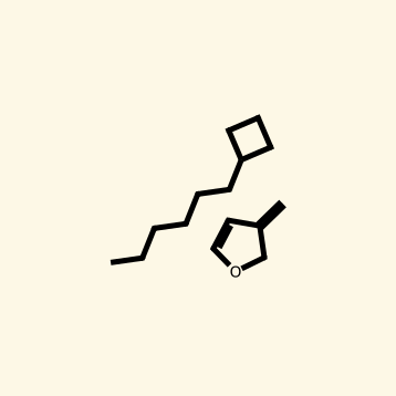 C=C1C=COC1.CCCCCCC1CCC1